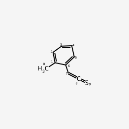 Cc1ccccc1C=C=S